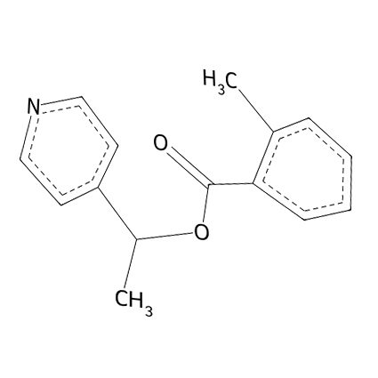 Cc1ccccc1C(=O)OC(C)c1ccncc1